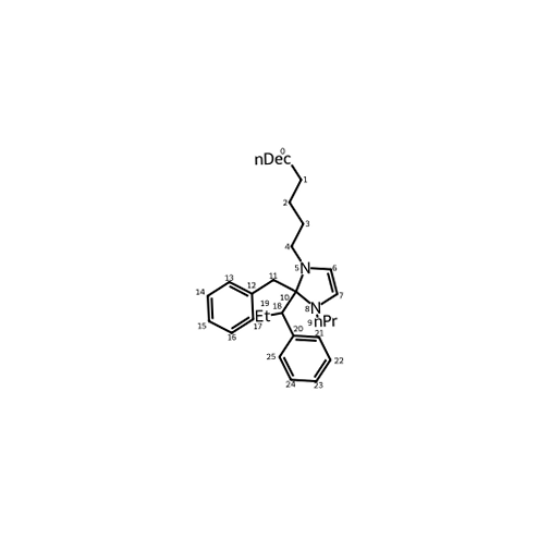 CCCCCCCCCCCCCCN1C=CN(CCC)C1(Cc1ccccc1)C(CC)c1ccccc1